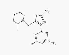 CC1CCCCN1Cc1sc(N)nc1-c1cc(F)cc(C(F)(F)F)c1